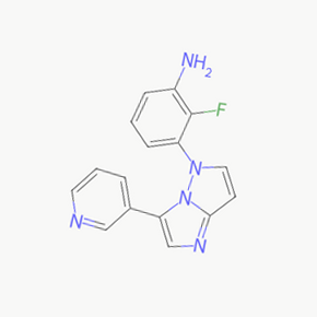 Nc1cccc(-n2ccc3ncc(-c4cccnc4)n32)c1F